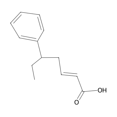 CCC(CC=CC(=O)O)c1ccccc1